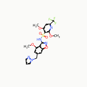 COc1cc(C(F)(F)F)nc(OC)c1S(=O)(=O)Nc1noc2cc(Cn3cccn3)cc(OC)c12